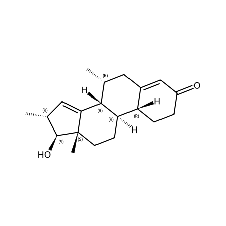 C[C@@H]1C=C2[C@H]3[C@H](CC[C@]2(C)[C@H]1O)[C@H]1CCC(=O)C=C1C[C@H]3C